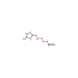 CC(=O)NCCCOCC1CCC(C)C1